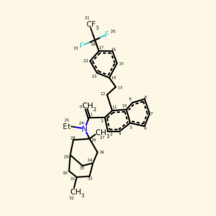 C=C(c1ccc2ccccc2c1CCc1ccc(C(F)(F)C(F)(F)F)cc1)N(CC)C1(C)CC2CC(C)CC(C2)C1